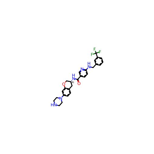 O=C(N[C@H]1COc2cc(N3CCNCC3)ccc2C1)c1ccc(NCc2cccc(C(F)(F)F)c2)nc1